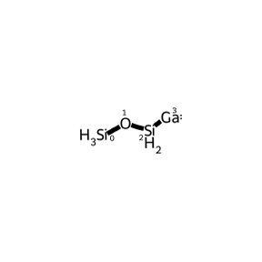 [SiH3]O[SiH2][Ga]